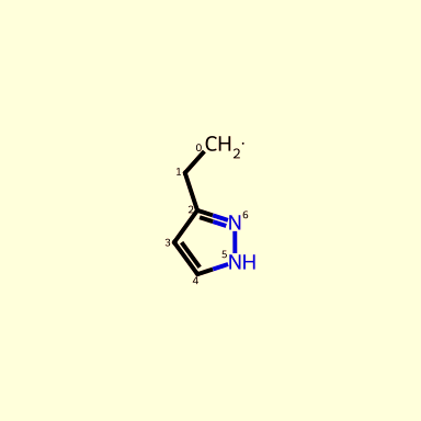 [CH2]Cc1cc[nH]n1